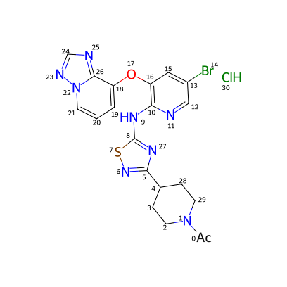 CC(=O)N1CCC(c2nsc(Nc3ncc(Br)cc3Oc3cccn4ncnc34)n2)CC1.Cl